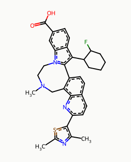 Cc1nc(C)c(-c2ccc3ccc4c(c3n2)CN(C)CCn2c-4c(C3CCCCC3F)c3ccc(C(=O)O)cc32)s1